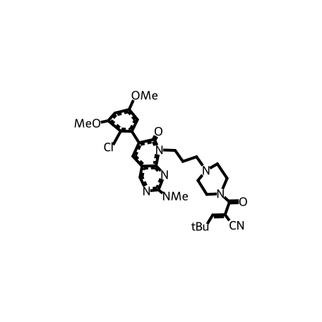 CNc1ncc2cc(-c3cc(OC)cc(OC)c3Cl)c(=O)n(CCCN3CCN(C(=O)C(C#N)=CC(C)(C)C)CC3)c2n1